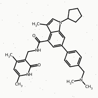 Cc1cc(C)c(CNC(=O)c2cc(-c3ccc(CN(C)C)cc3)cc3c2c(C)cn3C2CCCC2)c(=O)[nH]1